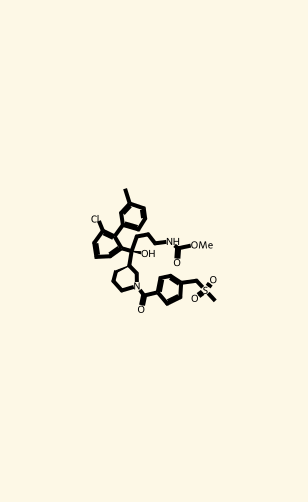 COC(=O)NCCC[C@@](O)(c1cccc(Cl)c1-c1cccc(C)c1)[C@@H]1CCCN(C(=O)c2ccc(CS(C)(=O)=O)cc2)C1